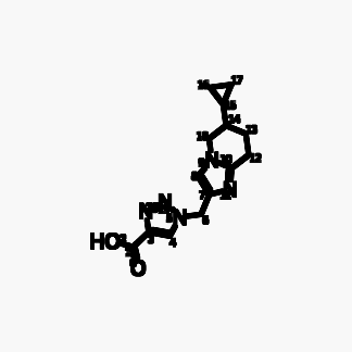 O=C(O)c1cn(Cc2cn3c(n2)CCC(C2CC2)C3)nn1